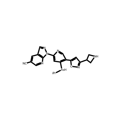 CC(C)[AsH]c1cc(-n2ncc3cc(C#N)cnc32)ncc1-c1cc(C2CNC2)no1